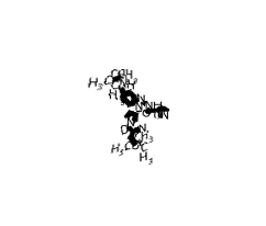 CCOC(C)(C)/C=C(\C#N)C(=O)N1CC[C@H](Cn2c(NC(=O)c3ccno3)nc3cc(CN[C@@H](C)C(C)(C)C)ccc32)C1